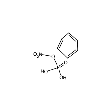 O=[N+]([O-])OP(=O)(O)O.c1ccccc1